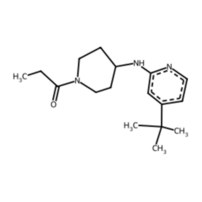 CCC(=O)N1CCC(Nc2cc(C(C)(C)C)ccn2)CC1